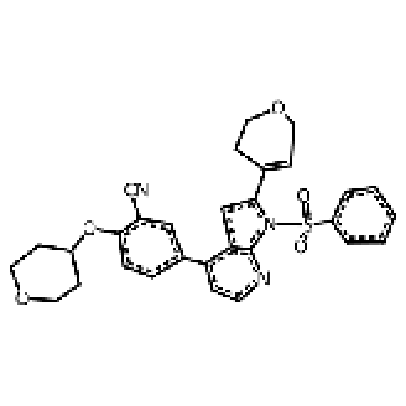 N#Cc1cc(-c2ccnc3c2cc(C2=CCOCC2)n3S(=O)(=O)c2ccccc2)ccc1OC1CCOCC1